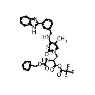 Cc1cn(C[C@H](NC(=O)OCc2ccccc2)C(=O)OC(=O)C(F)(F)F)c(=O)nc1NCc1cccc(-c2nc3ccccc3[nH]2)c1